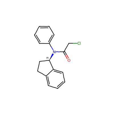 O=C(CCl)N(c1ccccc1)[C@@H]1CCc2ccccc21